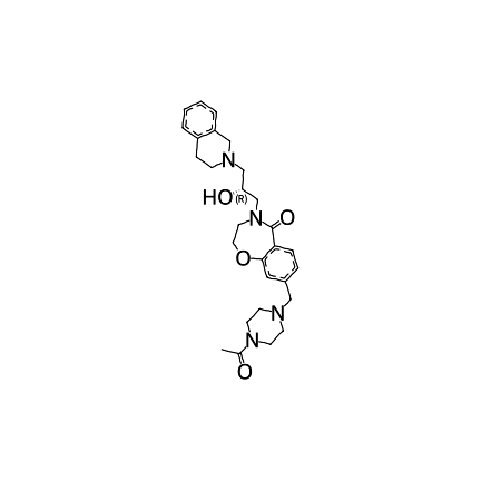 CC(=O)N1CCN(Cc2ccc3c(c2)OCCN(C[C@H](O)CN2CCc4ccccc4C2)C3=O)CC1